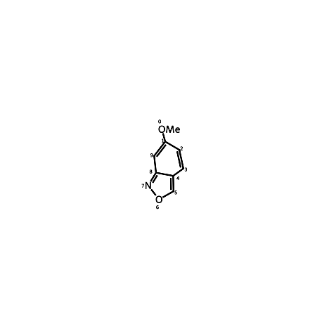 COc1ccc2conc2c1